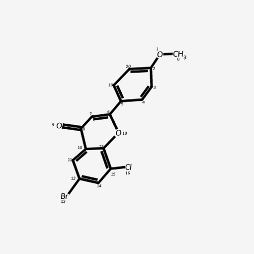 COc1ccc(-c2cc(=O)c3cc(Br)cc(Cl)c3o2)cc1